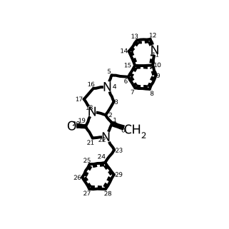 C=C1C2CN(Cc3cccc4ncccc34)CCN2C(=O)CN1Cc1ccccc1